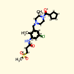 Cc1c(CN2CCN(C(=O)C3CCCC3)[C@@H](C)C2)cc(Cl)cc1NC(=O)CCS(C)(=O)=O